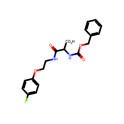 O=C(NC(C(=O)O)C(=O)NCCOc1ccc(F)cc1)OCc1ccccc1